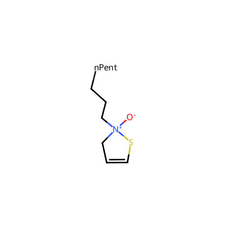 CCCCCCCC[N+]1([O-])CC=CS1